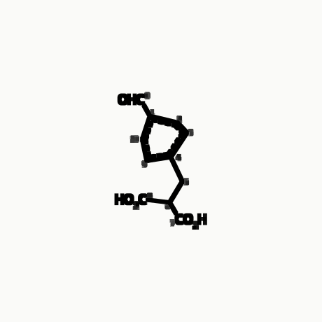 O=Cc1ccc(CC(C(=O)O)C(=O)O)cc1